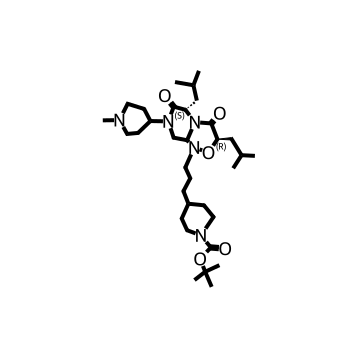 CC(C)C[C@H]1ON(CCCC2CCN(C(=O)OC(C)(C)C)CC2)C2CN(C3CCN(C)CC3)C(=O)[C@H](CC(C)C)N2C1=O